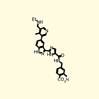 CCNCc1cncc(-c2ccc3[nH]nc(-c4ncc(C(=O)NCc5ccc(C(=O)O)c(C)c5)[nH]4)c3c2)c1C